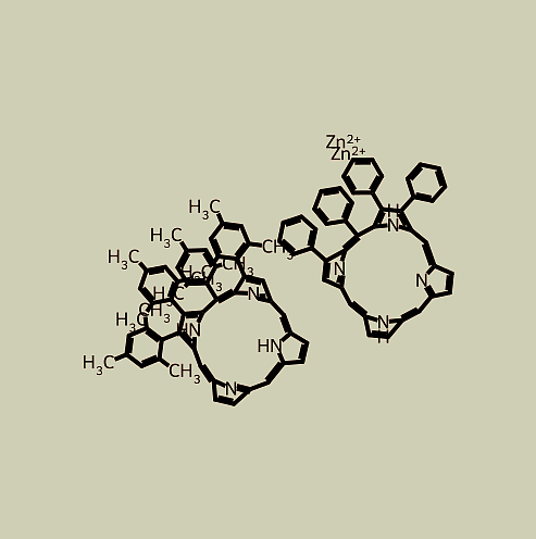 C1=Cc2cc3[nH]c(c(-c4ccccc4)c4nc(cc5ccc(cc1n2)[nH]5)C=C4c1ccccc1)c(-c1ccccc1)c3-c1ccccc1.Cc1cc(C)c(C2=Cc3cc4ccc(cc5nc(cc6[nH]c(c(-c7c(C)cc(C)cc7C)c2n3)c(-c2c(C)cc(C)cc2C)c6-c2c(C)cc(C)cc2C)C=C5)[nH]4)c(C)c1.[Zn+2].[Zn+2]